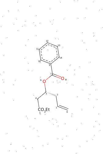 C=CC[C@H](CC(=O)OCC)OC(=O)c1ccccc1